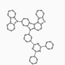 c1ccc(-c2nc(-c3ccccc3)nc(-c3cccc(-n4c5cc(-n6c7ccccc7c7ccccc76)ccc5c5c6c(ccc54)oc4ccccc46)c3)n2)cc1